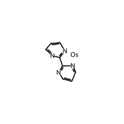 [Os].c1cnc(-c2ncccn2)nc1